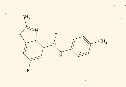 Cc1ccc(N[S+]([O-])c2cc(F)cc3sc(N)nc23)cc1